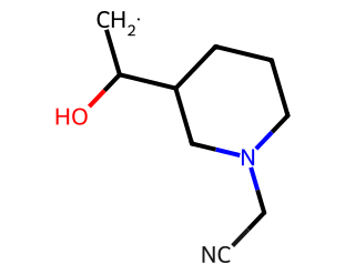 [CH2]C(O)C1CCCN(CC#N)C1